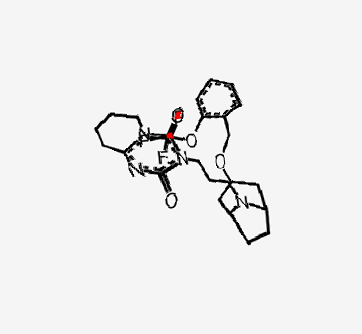 O=c1nc2n(c(=O)n1CCCN1C3CCC1CC(OCc1ccccc1OC(F)(F)F)C3)CCCC2